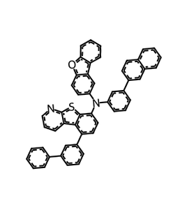 c1ccc(-c2cccc(-c3ccc(N(c4cccc(-c5ccc6ccccc6c5)c4)c4ccc5oc6ccccc6c5c4)c4sc5ncccc5c34)c2)cc1